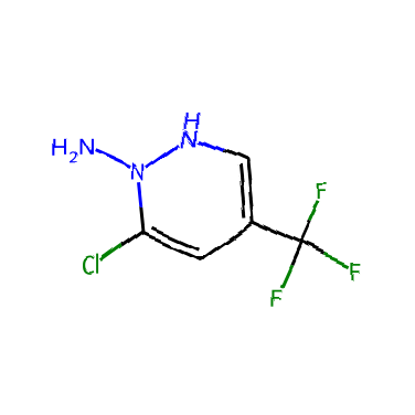 NN1NC=C(C(F)(F)F)C=C1Cl